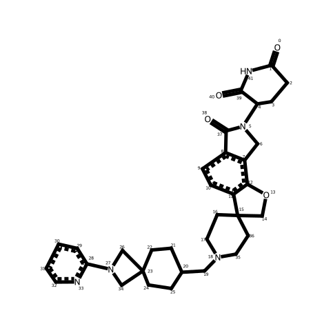 O=C1CCC(N2Cc3c(ccc4c3OCC43CCN(CC4CCC5(CC4)CN(c4ccccn4)C5)CC3)C2=O)C(=O)N1